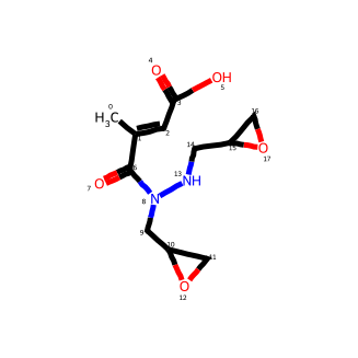 CC(=CC(=O)O)C(=O)N(CC1CO1)NCC1CO1